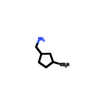 NCC1CCC(C(=O)O)C1